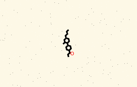 CCCCC1CCC(C2CCC(C(=O)CC)CC2)C(C)C1